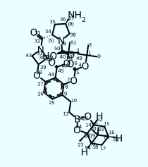 CC(C)(C)OC(=O)Oc1c(CCB2O[C@@H]3C[C@@H]4C[C@@H](C4(C)C)[C@]3(C)O2)ccc(OC2CN(C(=O)[C@@H]3C[C@@H](N)CN3C(=O)O)C2)c1C(=O)OC(C)(C)C